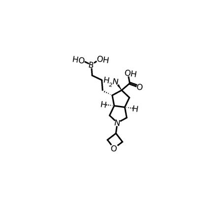 N[C@@]1(C(=O)O)C[C@H]2CN(C3COC3)C[C@H]2[C@@H]1CCCB(O)O